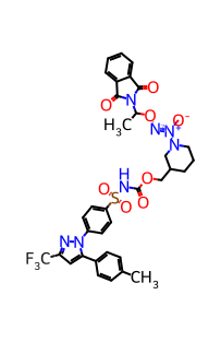 Cc1ccc(-c2cc(C(F)(F)F)nn2-c2ccc(S(=O)(=O)NC(=O)OCC3CCCN(/[N+]([O-])=N/OC(C)N4C(=O)c5ccccc5C4=O)C3)cc2)cc1